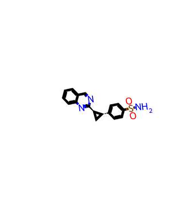 NS(=O)(=O)c1ccc([C@@H]2C[C@H]2c2ncc3ccccc3n2)cc1